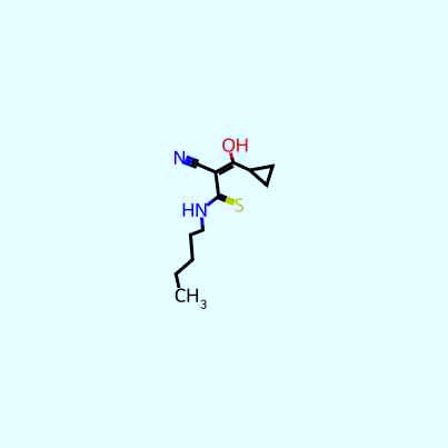 CCCCCNC(=S)/C(C#N)=C(/O)C1CC1